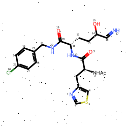 CC(=O)N[C@@H](Cc1cscn1)C(=O)N[C@@H](CCC(O)C=N)C(=O)NCc1ccc(Cl)cc1